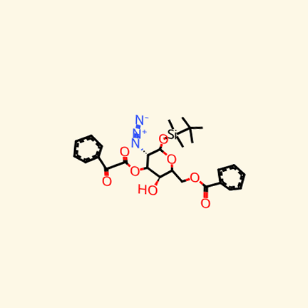 CC(C)(C)[Si](C)(C)OC1OC(COC(=O)c2ccccc2)[C@@H](O)C(OC(=O)C(=O)c2ccccc2)[C@@H]1N=[N+]=[N-]